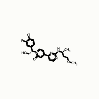 COCC[C@H](C)Nc1nccc(-c2ccn([C@H](CO)c3ccc(Cl)c(F)c3)c(=O)c2)n1